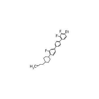 C=CCCC1CCC(c2ccc(-c3ccc(-c4ccc(CC)c(F)c4F)cc3)cc2F)CC1